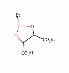 CCOC(=O)C1OB(CC)OC1C(=O)OCC